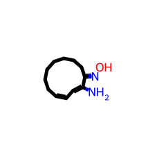 N/C1=C\C=C/CCCCCCC\C1=N/O